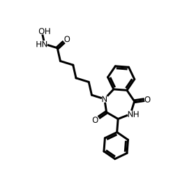 O=C(CCCCCN1C(=O)C(c2ccccc2)NC(=O)c2ccccc21)NO